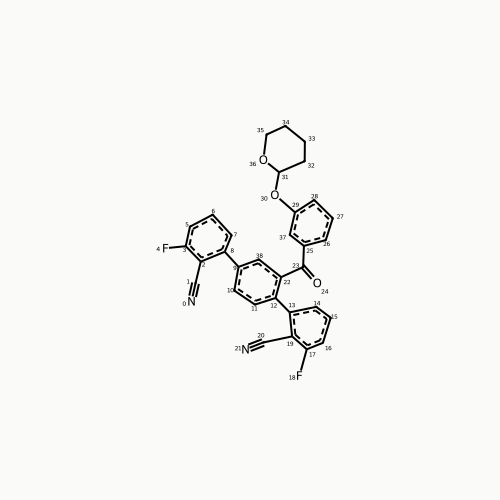 N#Cc1c(F)cccc1-c1ccc(-c2cccc(F)c2C#N)c(C(=O)c2cccc(OC3CCCCO3)c2)c1